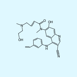 C=Cc1cccc(Nc2c(C#N)cnc3cc(O)c(N(C)C(=O)/C=C/CN(C)CCO)cc23)c1